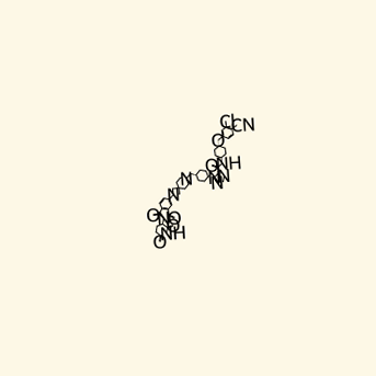 N#Cc1ccc(O[C@H]2CC[C@H](NC(=O)c3ncnn3[C@H]3CC[C@H](CN4CCC5(CC4)CN(c4ccc6c(c4)C(=O)N(C4CCC(=O)NC4=O)C6=O)C5)CC3)CC2)cc1Cl